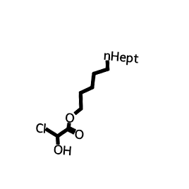 CCCCCCCCCCCCOC(=O)C(O)Cl